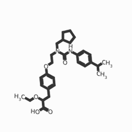 CCOC(Cc1ccc(OCCN(CC2CCCC2)C(=O)Nc2ccc(C(C)C)cc2)cc1)C(=O)O